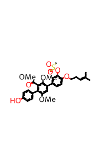 COC(=O)c1c(OC)c(-c2ccc(OCCC=C(C)C)c(OS(C)(=O)=O)c2)cc(OC)c1-c1ccc(O)cc1